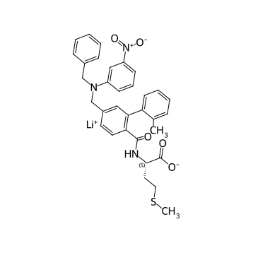 CSCC[C@H](NC(=O)c1ccc(CN(Cc2ccccc2)c2cccc([N+](=O)[O-])c2)cc1-c1ccccc1C)C(=O)[O-].[Li+]